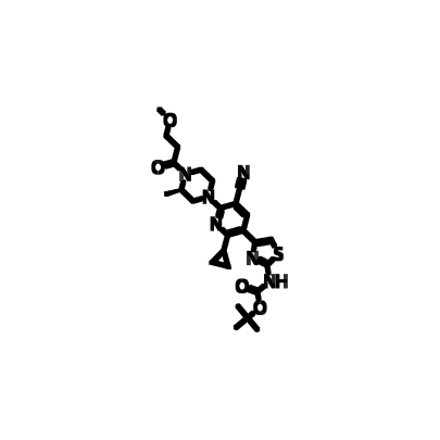 COCCC(=O)N1CCN(c2nc(C3CC3)c(-c3csc(NC(=O)OC(C)(C)C)n3)cc2C#N)C[C@H]1C